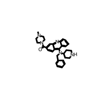 CN1CCN(C(=O)c2ccc3c(N(Cc4ccccc4)C4CCNCC4)c4ccccc4nc3c2)CC1